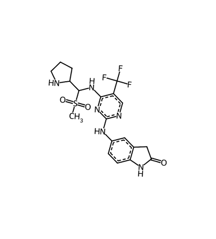 CS(=O)(=O)C(Nc1nc(Nc2ccc3c(c2)CC(=O)N3)ncc1C(F)(F)F)C1CCCN1